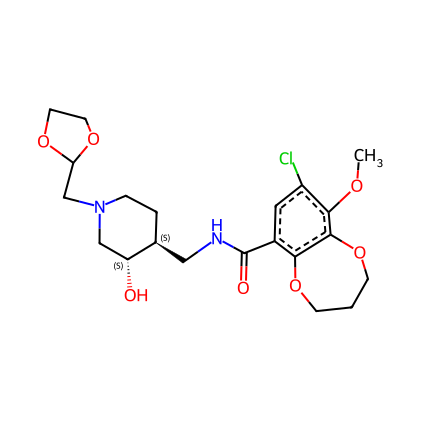 COc1c(Cl)cc(C(=O)NC[C@@H]2CCN(CC3OCCO3)C[C@H]2O)c2c1OCCCO2